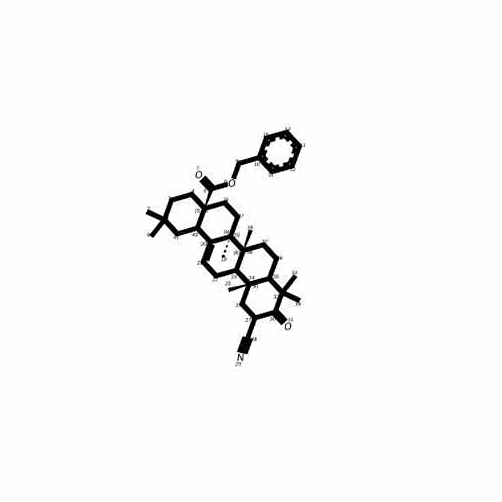 CC1(C)CC[C@]2(C(=O)OCc3ccccc3)CC[C@]3(C)C(=CCC4[C@@]5(C)CC(C#N)C(=O)C(C)(C)C5CC[C@]43C)C2C1